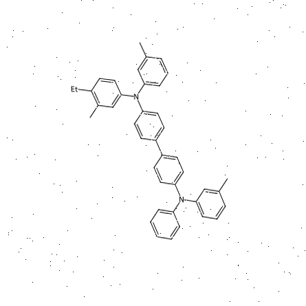 CCc1ccc(N(c2ccc(-c3ccc(N(c4ccccc4)c4cccc(C)c4)cc3)cc2)c2cccc(C)c2)cc1C